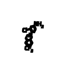 Nc1ccc(N2CCc3cc(C(F)(F)F)ccc3C2)c(Cl)c1